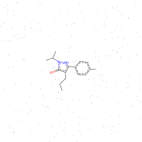 CCCc1c(-c2ccc(C)cc2)[nH]n(C(C)C)c1=O